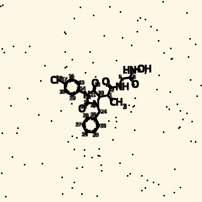 CC(C(=O)NCC(=O)NO)C1C(=O)N(c2ccc(Cl)cc2)C(=O)N1Cc1ccccc1